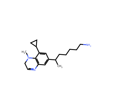 CC(CCCCCN)c1cc2c(c(C3CC3)c1)N(C)CC=N2